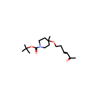 CC(=O)C=CCCOC1(C)CCN(C(=O)OC(C)(C)C)CC1